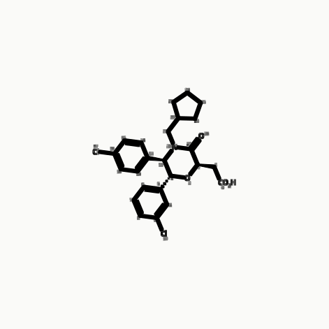 O=C(O)C[C@H]1O[C@H](c2cccc(Cl)c2)[C@@H](c2ccc(Cl)cc2)N(CC2CCCC2)C1=O